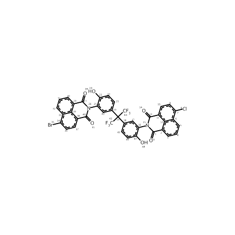 O=C1c2cccc3c(Cl)ccc(c23)C(=O)N1c1cc(C(c2ccc(O)c(N3C(=O)c4cccc5c(Br)ccc(c45)C3=O)c2)(C(F)(F)F)C(F)(F)F)ccc1O